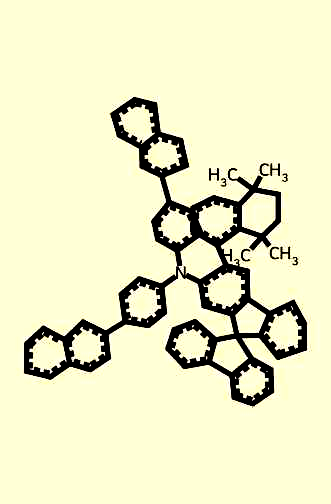 CC1(C)CCC(C)(C)c2c(-c3cc4c(cc3N(c3ccc(-c5ccc6ccccc6c5)cc3)c3ccc(-c5ccc6ccccc6c5)cc3)C3(c5ccccc5-c5ccccc53)c3ccccc3-4)cccc21